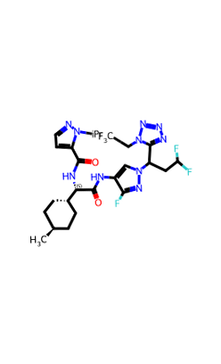 CC(C)n1nccc1C(=O)N[C@H](C(=O)Nc1cn(C(CC(F)F)c2nnnn2CC(F)(F)F)nc1F)[C@H]1CC[C@H](C)CC1